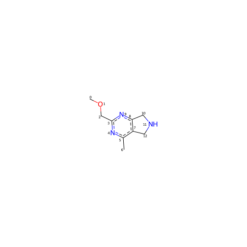 COCc1nc(C)c2c(n1)CNC2